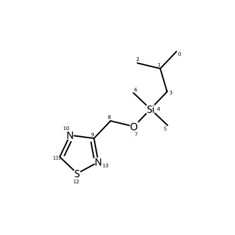 CC(C)C[Si](C)(C)OCc1n[c]sn1